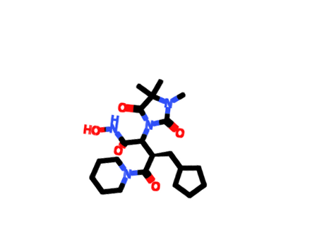 CN1C(=O)N(C(C(=O)NO)[C@@H](CC2CCCC2)C(=O)N2CCCCC2)C(=O)C1(C)C